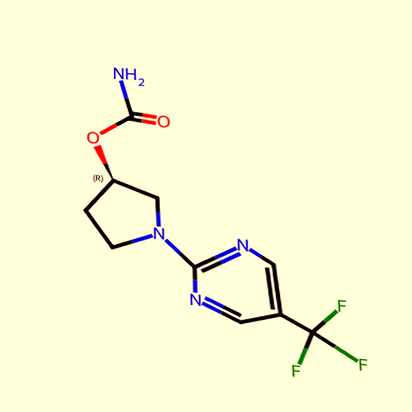 NC(=O)O[C@@H]1CCN(c2ncc(C(F)(F)F)cn2)C1